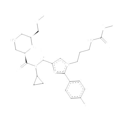 COC[C@@H]1CNC[C@H](C(=O)N(C2CC2)[C@H](C)c2cn(CCCNC(=O)OC)c(-c3ccc(F)cc3)n2)O1